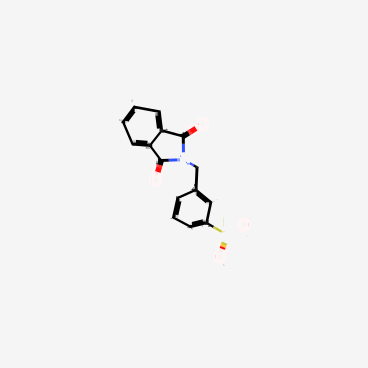 O=C1c2ccccc2C(=O)N1Cc1cccc([SH](=O)=O)c1